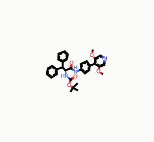 COc1cncc(OC)c1-c1ccc(NC(=O)[C@@H](NC(=O)OC(C)(C)C)C(c2ccccc2)c2ccccc2)cc1